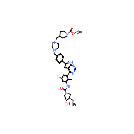 Cc1c(NC(=O)N2C[C@@H](CC(C)C)[C@H](O)C2)cc(F)cc1-c1ncnc2[nH]c(-c3ccc(CN4CCN(CC5CCN(C(=O)OC(C)(C)C)CC5)CC4)cc3)cc12